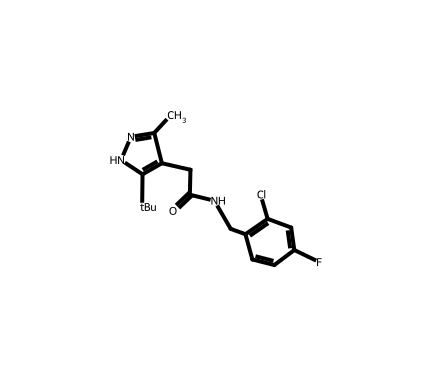 Cc1n[nH]c(C(C)(C)C)c1CC(=O)NCc1ccc(F)cc1Cl